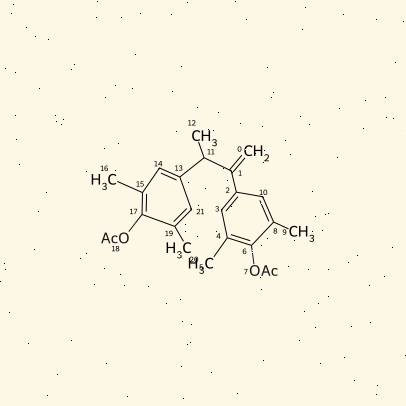 C=C(c1cc(C)c(OC(C)=O)c(C)c1)C(C)c1cc(C)c(OC(C)=O)c(C)c1